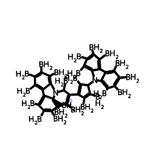 BC(=C)/C(B)=C(/C1=C(B)C(n2c3c(B)c(B)c(B)c(B)c3c3c(B)c(B)c(B)c(B)c32)C(B)=C1B)C(B)n1c2c(B)c(B)c(B)c(B)c2c2c(B)c(B)c(B)c(B)c21